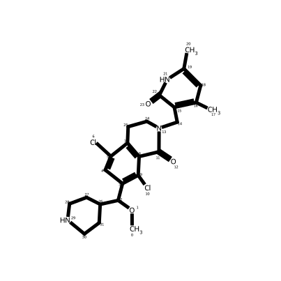 COC(c1cc(Cl)c2c(c1Cl)C(=O)N(Cc1c(C)cc(C)[nH]c1=O)CC2)C1CCNCC1